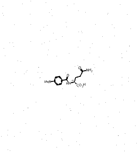 CNc1ccc(C(=O)N[C@@H](CCC(N)=O)C(=O)O)cc1